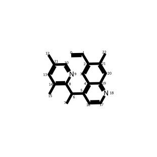 C=Cc1cc2c(C(C)c3ncc(C)cc3C)ccnc2cc1C